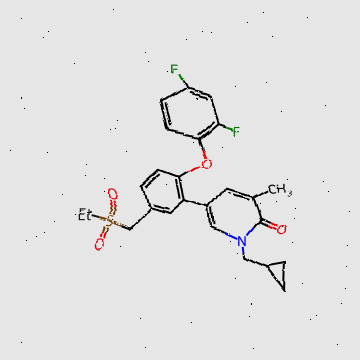 CCS(=O)(=O)Cc1ccc(Oc2ccc(F)cc2F)c(-c2cc(C)c(=O)n(CC3CC3)c2)c1